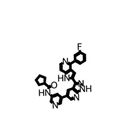 O=C(Nc1cncc(-c2cnc3[nH]nc(-c4cc5c(-c6cccc(F)c6)nccc5[nH]4)c3c2)c1)C1CCCC1